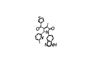 CC1=C(C(=O)c2ccsc2)C(c2cccc(C)n2)N(c2ccc3[nH]cnc3c2)C1=O